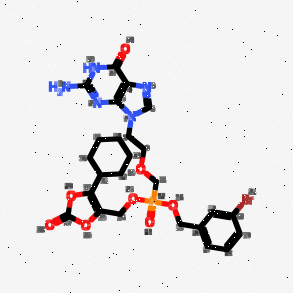 Nc1nc2c(ncn2CCOCP(=O)(OCc2cccc(Br)c2)OCc2oc(=O)oc2C2CCCCC2)c(=O)[nH]1